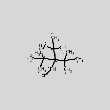 CC(C)(C)C(PCl)(C(C)(C)C)C(C)(C)C